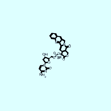 CC[C@@]1(OP(=O)(O)OC[C@H]2O[C@@H](n3ccc(N)nc3=O)C[C@@H]2O)C(=O)OCc2c1cc1n(c2=O)Cc2cc3ccccc3nc2-1